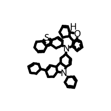 C1=CC[C@H](N2C3C=CC(N(c4cccc5c4C4CCC=C[C@H]4O5)C4C=Cc5sc6c(c5C4)C=CCC6)CC3C3C=C(C4CC=CCC4)CCC32)C=C1